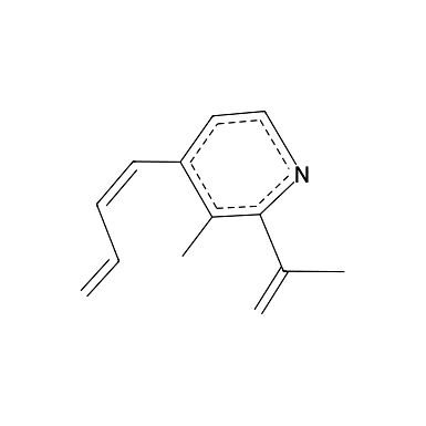 C=C/C=C\c1ccnc(C(=C)C)c1C